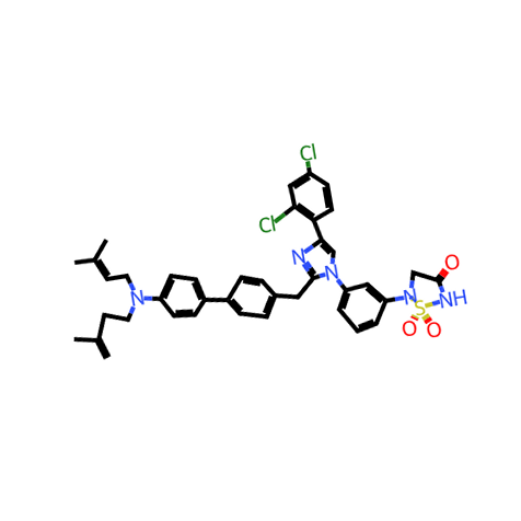 C=C(C)CCN(CC=C(C)C)c1ccc(-c2ccc(Cc3nc(-c4ccc(Cl)cc4Cl)cn3-c3cccc(N4CC(=O)NS4(=O)=O)c3)cc2)cc1